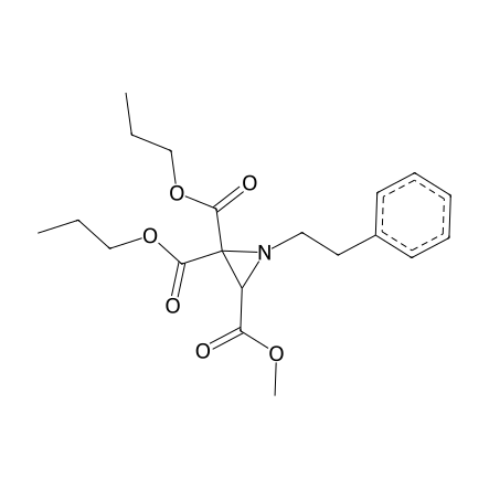 CCCOC(=O)C1(C(=O)OCCC)C(C(=O)OC)N1CCc1ccccc1